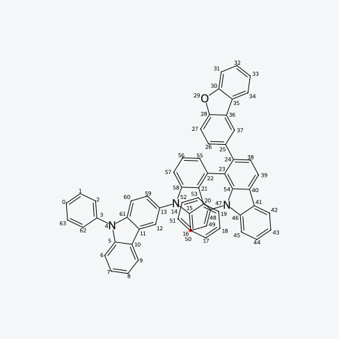 c1ccc(-n2c3ccccc3c3cc(-n4c5ccccc5c5c(-c6c(-c7ccc8oc9ccccc9c8c7)ccc7c8ccccc8n(-c8ccccc8)c67)cccc54)ccc32)cc1